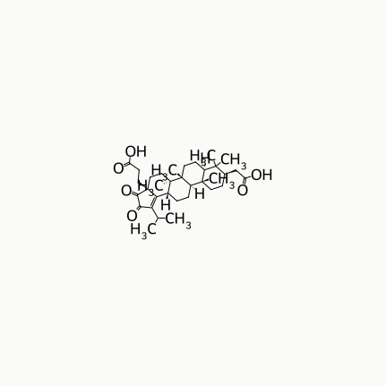 CC(C)C1=C2[C@H]3CC[C@@H]4[C@@]5(C)CC[C@H](CC(=O)O)C(C)(C)[C@@H]5CC[C@@]4(C)[C@]3(C)CC[C@@]2(CCC(=O)O)C(=O)C1=O